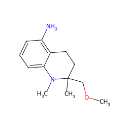 COCC1(C)CCc2c(N)cccc2N1C